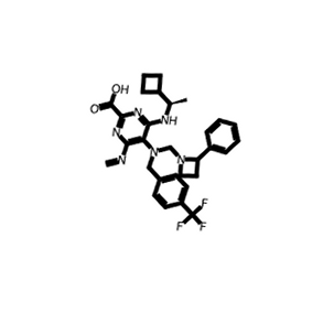 C=Nc1nc(C(=O)O)nc(N[C@H](C)C2CCC2)c1N(Cc1ccc(C(F)(F)F)cc1)CN1CCC1c1ccccc1